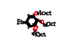 CCCCCCCCOc1cc(CC)cc(OCCCCCCCC)c1OCCCCCCCC